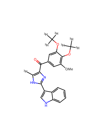 [2H]c1[nH]c(-c2c[nH]c3ccccc23)nc1C(=O)c1cc(OC)c(OC([2H])([2H])[2H])c(OC([2H])([2H])[2H])c1